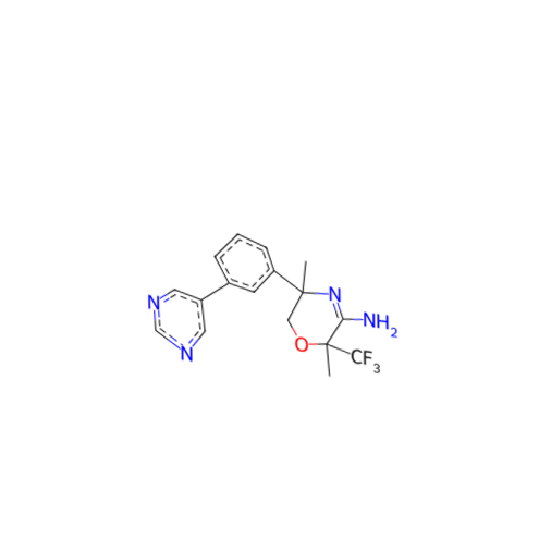 CC1(c2cccc(-c3cncnc3)c2)COC(C)(C(F)(F)F)C(N)=N1